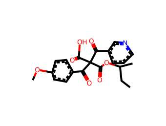 CCC(C)OC(=O)C(C(=O)O)(C(=O)c1ccc(OC)cc1)C(=O)c1cccnc1